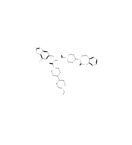 Cc1cc(C[C@@H](OC(=O)N2CCC(N3CCc4ccccc4NC3=O)CC2)C(=O)N2CCC(C3CCN(CC(=O)O)CC3)CC2)cc2nc[nH]c12